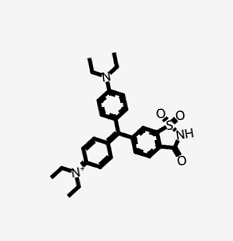 CCN(CC)c1ccc(C(=C2C=CC(=[N+](CC)CC)C=C2)c2ccc3c(c2)S(=O)(=O)NC3=O)cc1